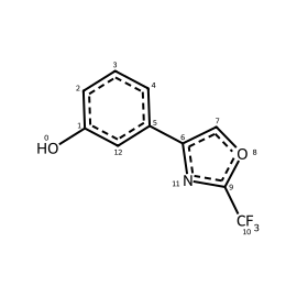 Oc1cccc(-c2coc(C(F)(F)F)n2)c1